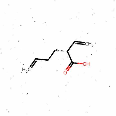 C=CCC[C@H](C=C)C(=O)O